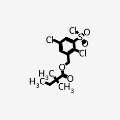 CCC(C)(C)C(=O)OCc1cc(Cl)cc(S(=O)(=O)Cl)c1Cl